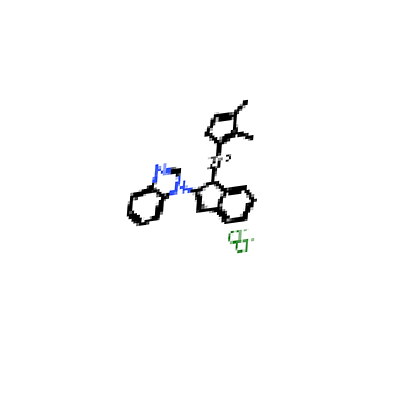 CC1=CC[C]([Zr+2][CH]2C(n3cnc4ccccc43)=Cc3ccccc32)=C1C.[Cl-].[Cl-]